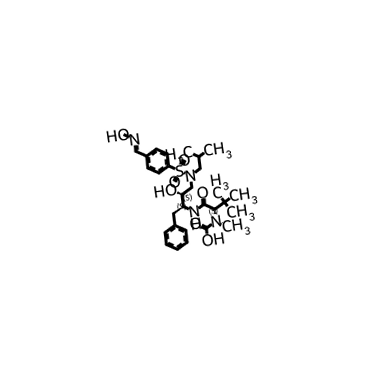 CC(C)CN(C[C@H](O)[C@H](Cc1ccccc1)NC(=O)[C@@H](N(C)C(=O)O)C(C)(C)C)S(=O)(=O)c1ccc(C=NO)cc1